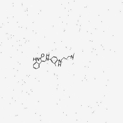 Cc1cc(NC=C2C(=O)Nc3ccccc32)ccc1NCCCN(C)C